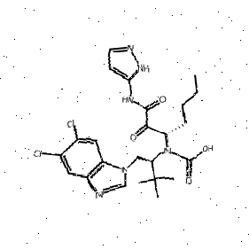 CCCC[C@@H](C(=O)C(=O)Nc1ccn[nH]1)N(C(=O)O)[C@H](Cn1cnc2cc(Cl)c(Cl)cc21)C(C)(C)C